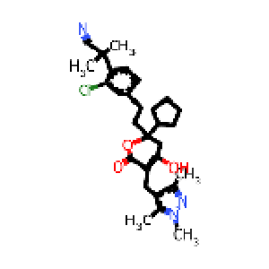 Cc1nn(C)c(C)c1CC1=C(O)CC(CCc2ccc(C(C)(C)C#N)c(Cl)c2)(C2CCCC2)OC1=O